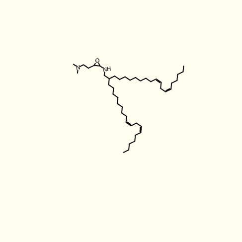 CCCCC/C=C\C/C=C\CCCCCCCCC(CCCCCCCC/C=C\C/C=C\CCCCC)CNC1OC1CCN(C)C